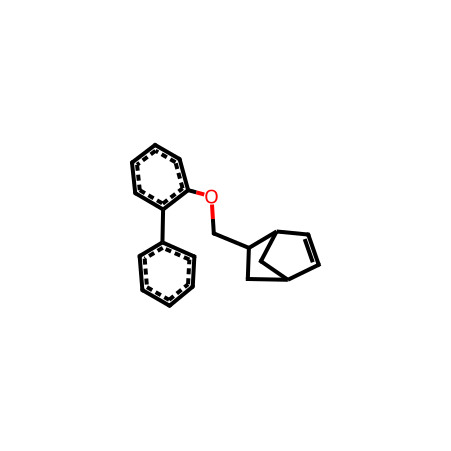 C1=CC2CC1CC2COc1ccccc1-c1ccccc1